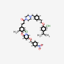 Cc1cc(C=CC(=O)N2CCN(Cc3ccc(CCOc4ccc(C(C)C)cc4)cc3)CC2)cc(Cl)c1Oc1ccc(OCc2ccc([N+](=O)[O-])cc2)cn1.Cl